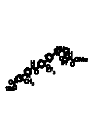 COC(=O)NC(C(=O)N1CCCC1c1nc(-c2ccc(-c3ccc(C(=O)Nc4ccc(N5CCN(C(=O)OC(C)(C)C)CC5C)nc4)cc3OC(F)(F)F)cc2)c[nH]1)C(C)C